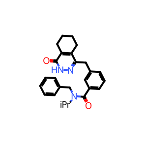 CC(C)N(Cc1ccccc1)C(=O)c1cccc(Cc2n[nH]c(=O)c3c2CCCC3)c1